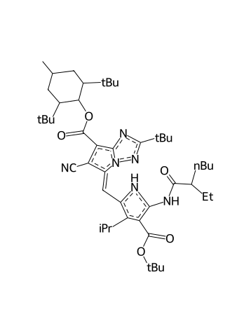 CCCCC(CC)C(=O)Nc1[nH]c(/C=c2/c(C#N)c(C(=O)OC3C(C(C)(C)C)CC(C)CC3C(C)(C)C)c3nc(C(C)(C)C)nn23)c(C(C)C)c1C(=O)OC(C)(C)C